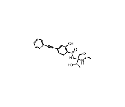 CCN[C@](C=O)(NC(=O)c1ccc(C#Cc2ccccc2)cc1O)[C@@H](C)O